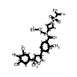 CCOCN(C(=O)c1ccc(C2=NO[C@@](c3cc(Cl)c(F)c(Cl)c3)(C(F)(F)F)C2)cc1C)C1CN(S(=O)(=O)C(F)F)C1